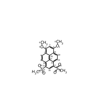 COc1cc(OC)c2ccc3c(S(C)(=O)=O)cc(S(C)(=O)=O)c4ccc1c2c43